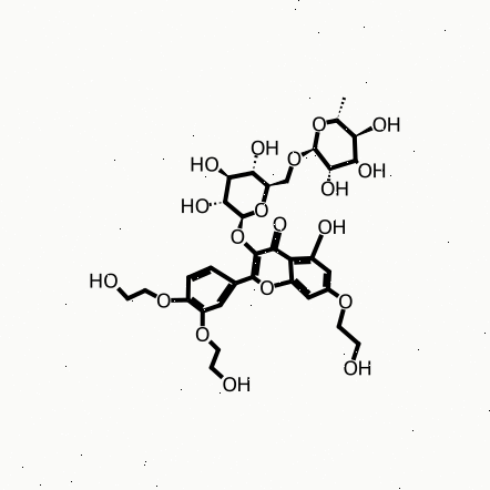 C[C@H]1O[C@H](OC[C@H]2O[C@@H](Oc3c(-c4ccc(OCCO)c(OCCO)c4)oc4cc(OCCO)cc(O)c4c3=O)[C@H](O)[C@@H](O)[C@@H]2O)[C@@H](O)[C@@H](O)[C@@H]1O